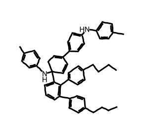 CCCCc1ccc(-c2cccc(C3(Nc4ccc(C)cc4)C=CC(c4ccc(Nc5ccc(C)cc5)cc4)=CC3)c2-c2ccc(CCCC)cc2)cc1